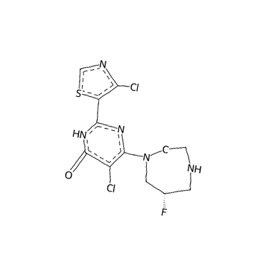 O=c1[nH]c(-c2scnc2Cl)nc(N2CCNC[C@H](F)C2)c1Cl